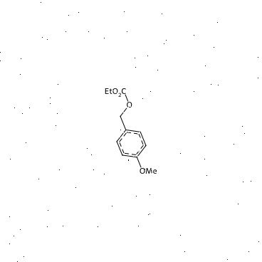 CCOC(=O)OCc1ccc(OC)cc1